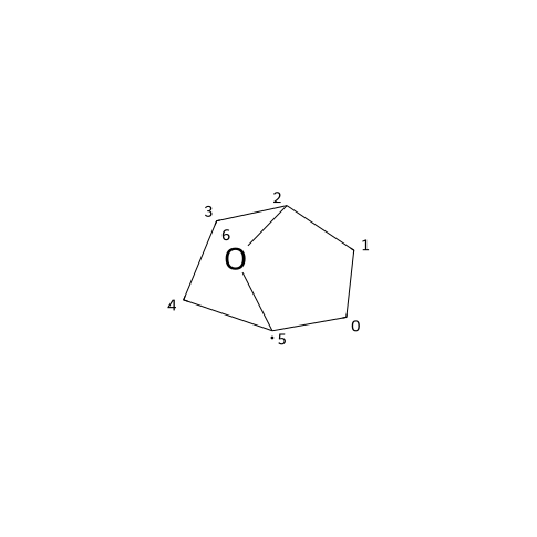 C1CC2CC[C]1O2